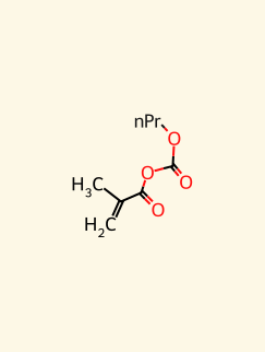 C=C(C)C(=O)OC(=O)OCCC